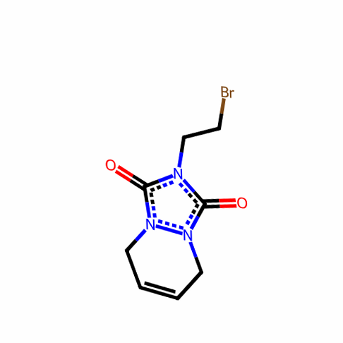 O=c1n(CCBr)c(=O)n2n1CC=CC2